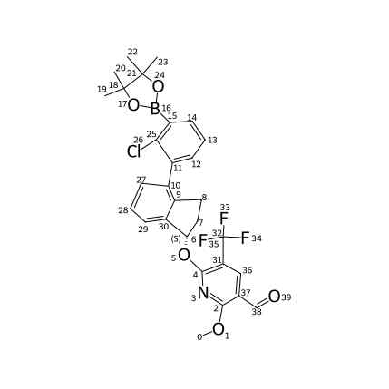 COc1nc(O[C@H]2CCc3c(-c4cccc(B5OC(C)(C)C(C)(C)O5)c4Cl)cccc32)c(C(F)(F)F)cc1C=O